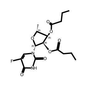 CCCC(=O)O[C@@H]1[C@H](OC(=O)CCC)[C@@H](C)O[C@H]1n1cc(F)c(=O)[nH]c1=O